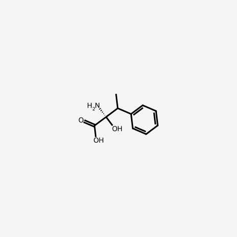 CC(c1ccccc1)[C@@](N)(O)C(=O)O